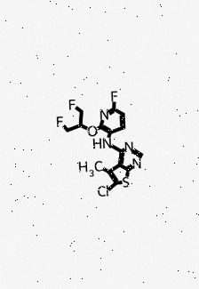 Cc1c(Cl)sc2ncnc(Nc3ccc(F)nc3OC(CF)CF)c12